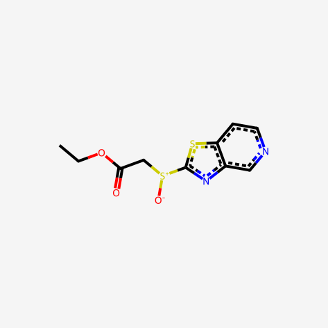 CCOC(=O)C[S+]([O-])c1nc2cnccc2s1